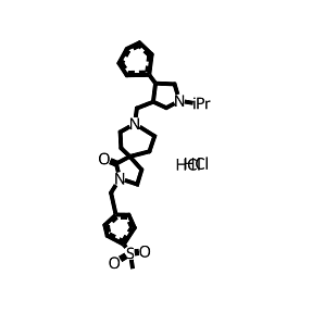 CC(C)N1CC(CN2CCC3(CC2)CCN(Cc2ccc(S(C)(=O)=O)cc2)C3=O)C(c2ccccc2)C1.Cl.Cl